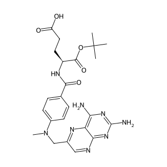 CN(Cc1cnc2nc(N)nc(N)c2n1)c1ccc(C(=O)N[C@@H](CCC(=O)O)C(=O)OC(C)(C)C)cc1